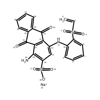 C=CS(=O)(=O)c1ccccc1Nc1cc(S(=O)(=O)[O-])c(N)c2c1C(=O)c1ccccc1C2=O.[Na+]